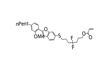 C=CC(=O)OCCCC(F)(F)CCCSc1ccc2cc(-c3ccc(CCCCC)cc3OC)oc2c1